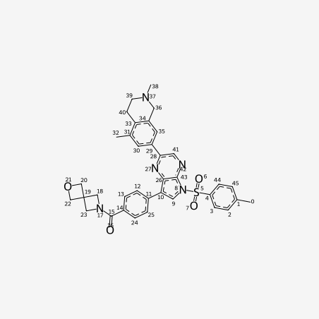 Cc1ccc(S(=O)(=O)n2cc(-c3ccc(C(=O)N4CC5(COC5)C4)cc3)c3nc(-c4cc(C)c5c(c4)CN(C)CC5)cnc32)cc1